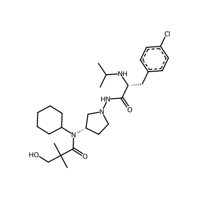 CC(C)N[C@H](Cc1ccc(Cl)cc1)C(=O)NN1CC[C@H](N(C(=O)C(C)(C)CO)C2CCCCC2)C1